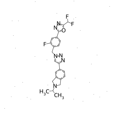 CC(C)N1Cc2ccc(-c3cn(Cc4ccc(-c5nnc(C(F)F)o5)cc4F)nn3)cc2C1